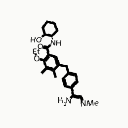 CCOc1c(C(=O)N[C@H]2CCCCC2O)cc(Cc2ccc(/C(N)=C/NC)cc2)c(C)c1C